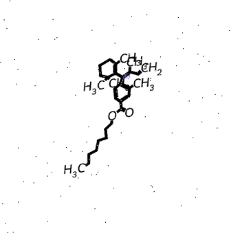 C=C/C(C)=C(/C1=C(C)CCCC1(C)C)c1ccc(C(=O)OCCCCCCCC)cc1C